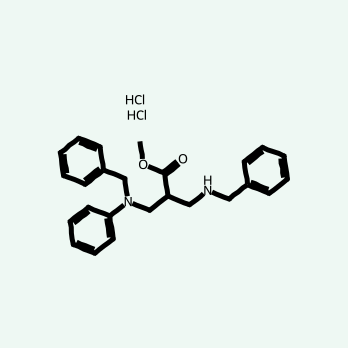 COC(=O)C(CNCc1ccccc1)CN(Cc1ccccc1)c1ccccc1.Cl.Cl